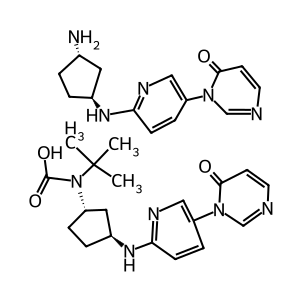 CC(C)(C)N(C(=O)O)[C@H]1CC[C@H](Nc2ccc(-n3cnccc3=O)cn2)C1.N[C@H]1CC[C@H](Nc2ccc(-n3cnccc3=O)cn2)C1